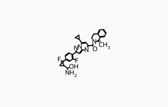 C[C@@H]1c2ccccc2CCN1C(=O)c1cc(C2CC2)n2nc(-c3ccc([C@@]4(F)CC4C(N)O)cc3F)cc2n1